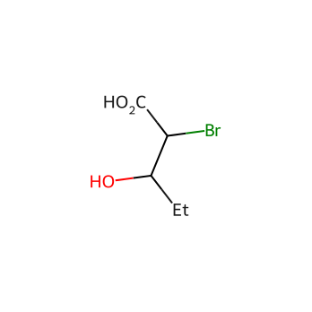 CCC(O)C(Br)C(=O)O